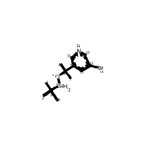 CC(C)(C)[SiH2]OC(C)(C)c1cncc(Br)c1